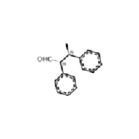 C[C@@H](c1ccccc1)[C@@H](C=O)c1ccccc1